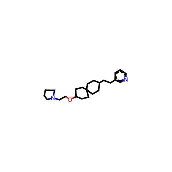 c1cncc(CCC2CCC3(CC2)CCC(OCCN2CCCC2)CC3)c1